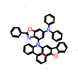 c1ccc(-c2nc3c(N(c4ccc5oc6ccccc6c5c4)c4ccccc4-c4ccccc4)cc(N(c4ccccc4)c4ccccc4)cc3o2)cc1